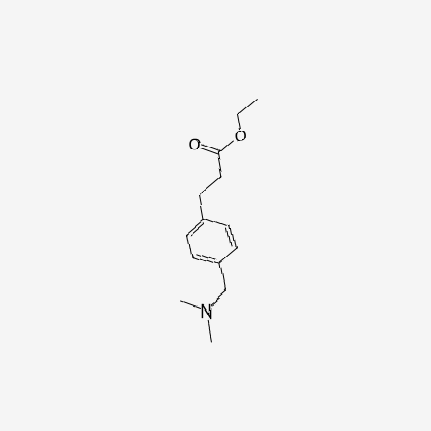 CCOC(=O)CCc1ccc(CN(C)C)cc1